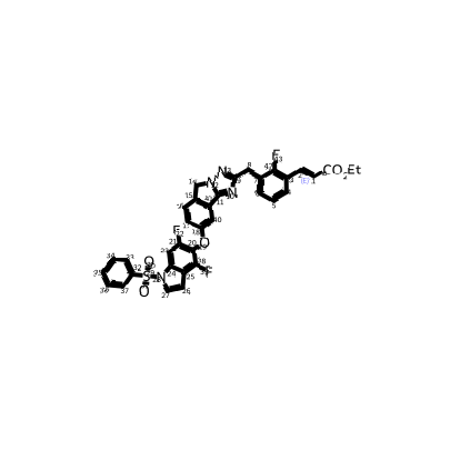 CCOC(=O)/C=C/c1cccc(Cc2nc3n(n2)Cc2ccc(Oc4c(F)cc5c(ccn5S(=O)(=O)c5ccccc5)c4F)cc2-3)c1F